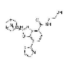 O=C(NCCO)c1ccc(-c2nccs2)c2oc(N3CC4CC(C3)N4C(=O)O)nc12